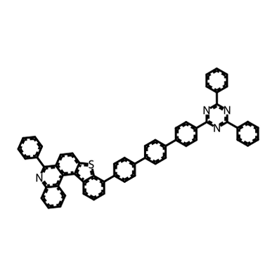 c1ccc(-c2nc(-c3ccccc3)nc(-c3ccc(-c4ccc(-c5ccc(-c6cccc7c6sc6ccc8c(-c9ccccc9)nc9ccccc9c8c67)cc5)cc4)cc3)n2)cc1